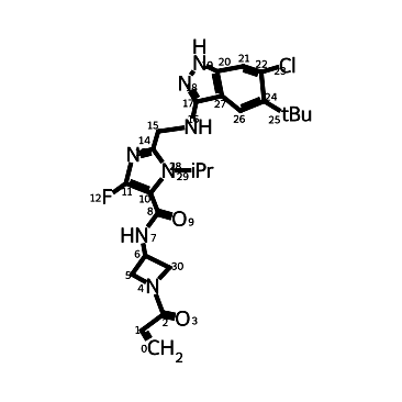 C=CC(=O)N1CC(NC(=O)c2c(F)nc(CNc3n[nH]c4cc(Cl)c(C(C)(C)C)cc34)n2C(C)C)C1